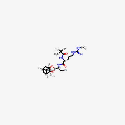 CCCC(C)(C)C(=O)N[C@@H](CCCNC(=N)N[N+](=O)[O-])C(=O)N[C@@H](CC(C)C)B1O[C@@H]2C[C@@H]3C[C@@H](C3(C)C)[C@]2(C)O1